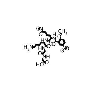 CCOc1ccc([N+](=O)[O-])cc1C(=O)NC(C=CCC(=O)N=O)C(=O)NC(CCCCN)C(=O)NCC(=O)NCC(=O)O